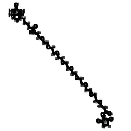 O=C(CCCC[C@@H]1SC[C@@H]2NC(=O)N[C@@H]21)NCCOCCOCCOCCOCCOCCOCCOCCOCCOCCC(=O)ON1C(=O)CCC1=O